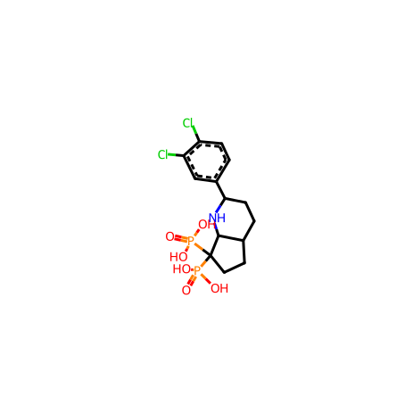 O=P(O)(O)C1(P(=O)(O)O)CCC2CCC(c3ccc(Cl)c(Cl)c3)NC21